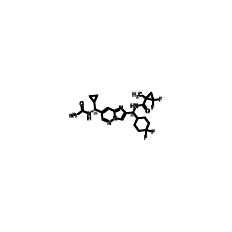 CCCC(=O)N[C@@H](c1cnn2cc([C@@H](NC(=O)C3(C)CC3(F)F)C3CCC(F)(F)CC3)nc2c1)C1CC1